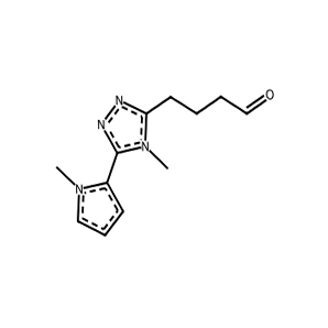 Cn1cccc1-c1nnc(CCCC=O)n1C